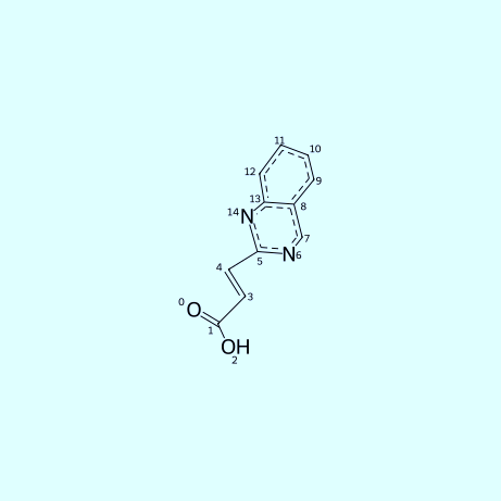 O=C(O)/C=C/c1ncc2ccccc2n1